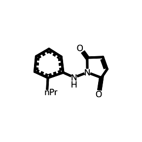 CCCc1ccccc1NN1C(=O)C=CC1=O